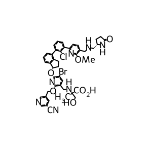 COc1nc(-c2cccc(-c3cccc4c3CC[C@@H]4Oc3nc(OCc4cncc(C#N)c4)c(CNC(C)(CO)C(=O)O)cc3Br)c2Cl)ccc1CNC[C@@H]1CCC(=O)N1